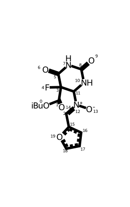 CC(C)COC(=O)C1(F)C(=O)NC(=O)NC1[N+]([O-])=Cc1ccco1